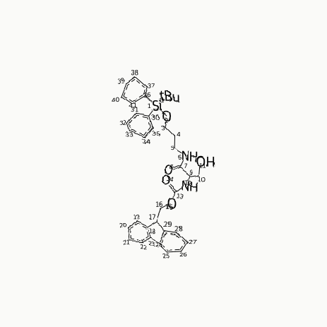 CC(C)(C)[Si](OCCCNC(=O)C(CO)NC(=O)OCC1c2ccccc2-c2ccccc21)(c1ccccc1)c1ccccc1